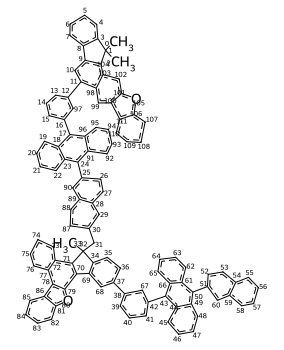 CC1(C)c2ccccc2-c2cc(-c3cccc(-c4c5ccccc5c(-c5ccc6cc(CC7(C)c8ccc(-c9cccc(-c%10c%11ccccc%11c(-c%11ccc%12ccccc%12c%11)c%11ccccc%10%11)c9)cc8-c8c7c7ccccc7c7c8oc8ccccc87)ccc6c5)c5ccccc45)c3)c3cc4c(cc3c21)oc1ccccc14